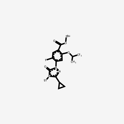 CCn1c(C2CC2)nn(-c2cc(OC(C)C(F)(F)F)c(C(=O)OC(C)(C)C)cc2F)c1=O